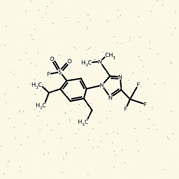 CCc1cc(C(C)C)c(S(=O)(=O)F)cc1-n1nc(C(F)(F)F)nc1N(C)C